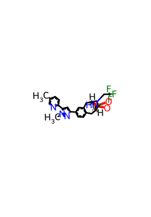 Cc1ccc(-c2cc(-c3ccc4c(c3)C[C@H]3CC[C@@H](C4)[C@]34CN(CC(F)(F)F)S(=O)(=O)N4)nn2C)nc1